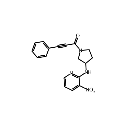 O=C(C#Cc1ccccc1)N1CCC(Nc2ncccc2[N+](=O)[O-])C1